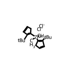 CC(C)(C)C1=[C]([Zr+2]([CH3])([CH3])[C]2=C(C(C)(C)C)C=CC2)CC=C1.[Cl-].[Cl-]